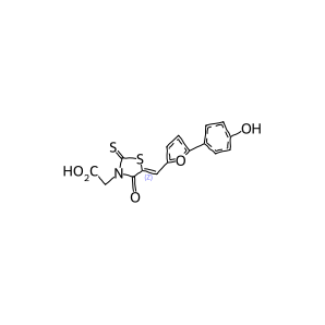 O=C(O)CN1C(=O)/C(=C/c2ccc(-c3ccc(O)cc3)o2)SC1=S